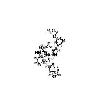 CCOc1cncc(-c2cnc(C(=O)N[C@H](CN3CC[C@@]4(CCOC4)C3)c3cc(NS(=O)(=O)C4CC4)ccn3)s2)n1